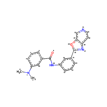 CN(C)c1cccc(C(=O)Nc2cccc(-c3nc4ccncc4o3)c2)c1